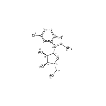 Nc1nc2ccc(Cl)cc2n1[C@@H]1O[C@H](CO)[C@@H](O)[C@H]1O